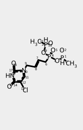 C[PH](=O)OP(=O)(C/C=C/Cn1cc(Cl)c(=O)[nH]c1=O)O[PH](C)=O